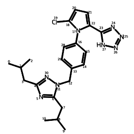 CC(C)Cc1nc(CC(C)C)n(Cc2ccc(-n3c(Cl)ccc3-c3nnn[nH]3)cc2)n1